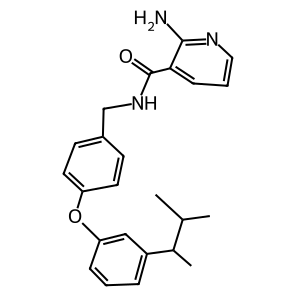 CC(C)C(C)c1cccc(Oc2ccc(CNC(=O)c3cccnc3N)cc2)c1